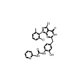 CCc1nn(-c2c(C)cccc2Cl)c2nc(Cc3ccc(NC(=O)Nc4ccccn4)c(O)c3)[nH]c(=O)c12